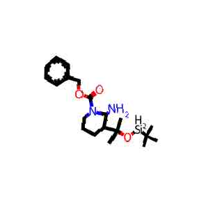 CC(C)(C)[SiH2]OC(C)(C)C1CCCN(C(=O)OCc2ccccc2)C1N